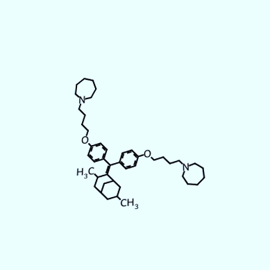 CC1CC2CC(C)C(=C(c3ccc(OCCCCN4CCCCCC4)cc3)c3ccc(OCCCCN4CCCCCC4)cc3)C(C1)C2